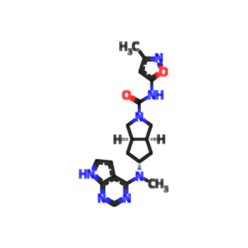 Cc1cc(NC(=O)N2C[C@H]3C[C@H](N(C)c4ncnc5[nH]ccc45)C[C@H]3C2)on1